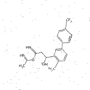 CC(=N)OC(=N)CC(O)c1cc(-c2ccc(C(F)(F)F)cc2)ccc1C